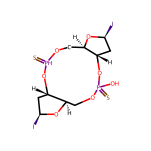 OP1(=S)OC[C@H]2O[C@@H](I)C[C@@H]2O[PH](=S)OC[C@H]2O[C@@H](I)C[C@@H]2O1